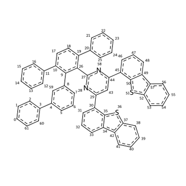 c1ccc(-c2cccc(-c3c(-c4ccccc4)ccc(-c4ccccc4)c3-c3nc(-c4cccc5c4sc4ccccc45)cc(-c4cccc5c4sc4ccccc45)n3)c2)cc1